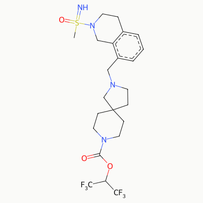 CS(=N)(=O)N1CCc2cccc(CN3CCC4(CCN(C(=O)OC(C(F)(F)F)C(F)(F)F)CC4)C3)c2C1